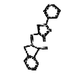 O=C1C(=Cc2cc(-c3ccccc3)n[nH]2)Cc2ccccc21